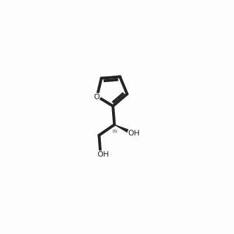 OC[C@H](O)c1ccco1